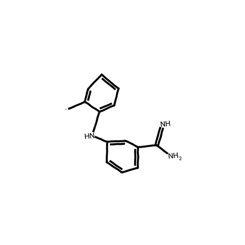 [CH2]c1ccccc1Nc1cccc(C(=N)N)c1